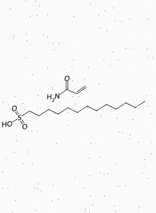 C=CC(N)=O.CCCCCCCCCCCCCS(=O)(=O)O